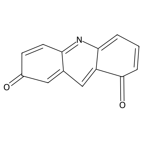 O=C1C=Cc2nc3c(cc2=C1)C(=O)C=CC=3